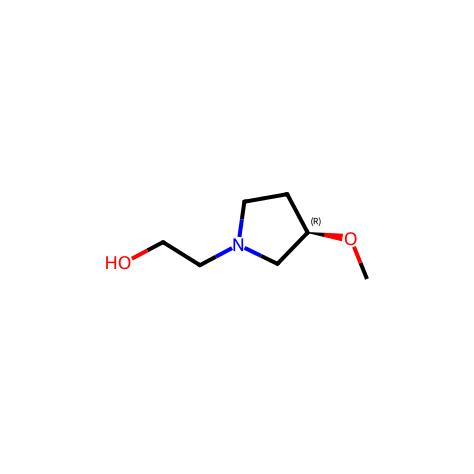 CO[C@@H]1CCN(CCO)C1